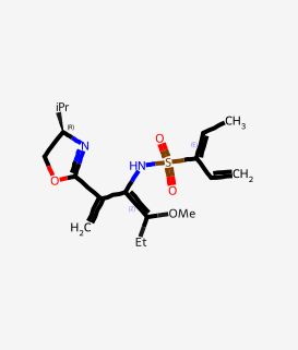 C=C/C(=C\C)S(=O)(=O)N/C(C(=C)C1=N[C@H](C(C)C)CO1)=C(/CC)OC